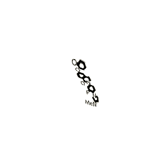 CN[C@@H]1CCN(c2ccc(N3CCc4cc(OC5CCCCC5=O)ccc4C3=O)cc2F)C1